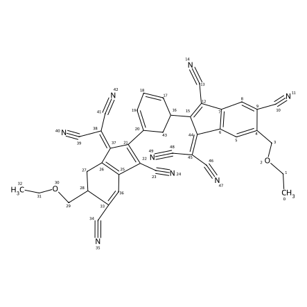 CCOCc1cc2c(cc1C#N)C(C#N)=C(C1C=CC=C(C3=C(C#N)C4=C(CC(COCC)C(C#N)=C4)C3=C(C#N)C#N)C1)C2=C(C#N)C#N